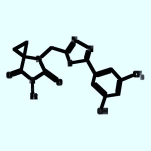 CCN1C(=O)N(Cc2nnc(-c3cc(O)cc(C(F)(F)F)c3)s2)C2(CC2)C1=O